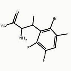 Cc1cc(F)c(F)c(C(C)C(N)C(=O)O)c1Br